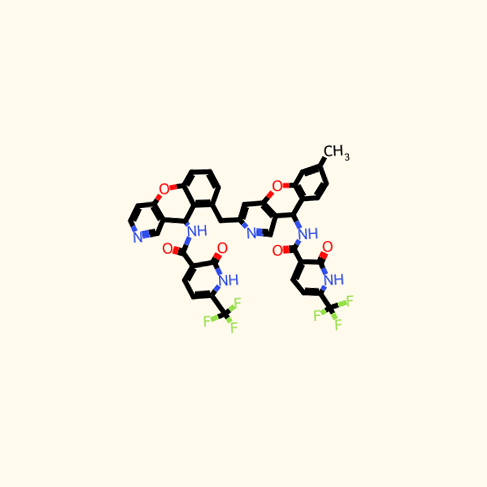 Cc1ccc2c(c1)Oc1cc(Cc3cccc4c3C(NC(=O)c3ccc(C(F)(F)F)[nH]c3=O)c3cnccc3O4)ncc1C2NC(=O)c1ccc(C(F)(F)F)[nH]c1=O